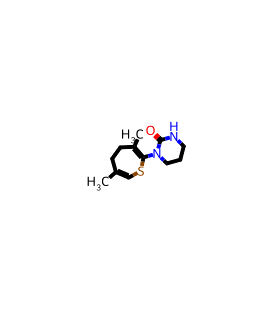 CC1=CSC(N2CCCNC2=O)=C(C)CC1